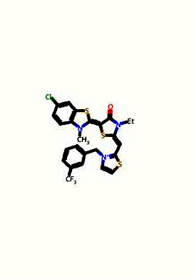 CCn1c(=O)/c(=C2\Sc3cc(Cl)ccc3N2C)s/c1=C\c1scc[n+]1Cc1cccc(C(F)(F)F)c1